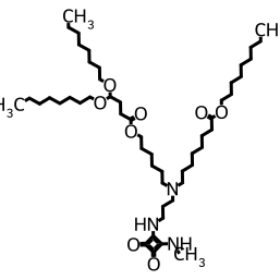 CCCCCCCCCOC(=O)CCCCCCCN(CCCCCCOC(=O)CCC(OCCCCCCCC)OCCCCCCCC)CCCNc1c(NC)c(=O)c1=O